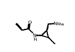 C=CC(=O)NC1C(C)C1CNC